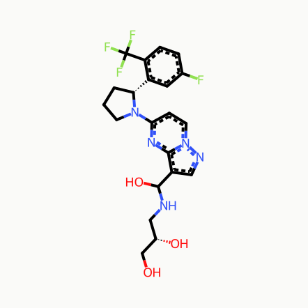 OC[C@@H](O)CNC(O)c1cnn2ccc(N3CCC[C@@H]3c3cc(F)ccc3C(F)(F)F)nc12